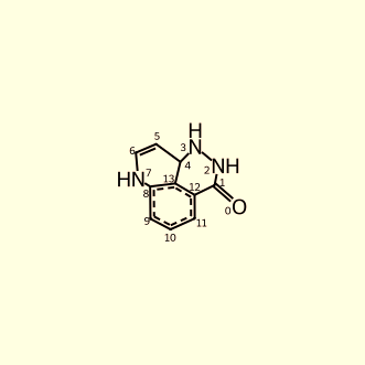 O=C1NNC2C=CNc3cccc1c32